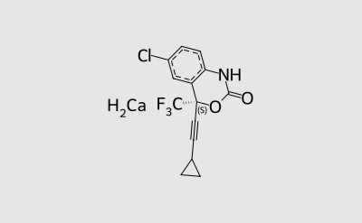 O=C1Nc2ccc(Cl)cc2[C@@](C#CC2CC2)(C(F)(F)F)O1.[CaH2]